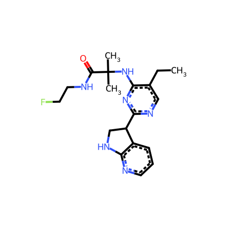 CCc1cnc(C2CNc3ncccc32)nc1NC(C)(C)C(=O)NCCF